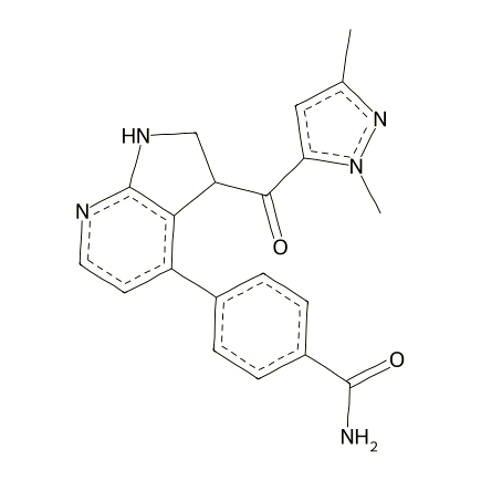 Cc1cc(C(=O)C2CNc3nccc(-c4ccc(C(N)=O)cc4)c32)n(C)n1